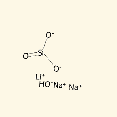 O=[Si]([O-])[O-].[Li+].[Na+].[Na+].[OH-]